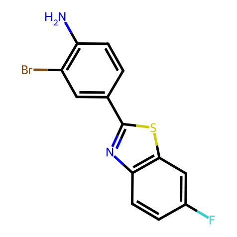 Nc1ccc(-c2nc3ccc(F)cc3s2)cc1Br